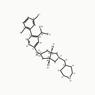 Cc1ccc(F)cc1-c1nnc(N[C@H]2C[C@@H]3CN(CC4CCOCC4)C[C@@H]3C2)cc1C(F)F